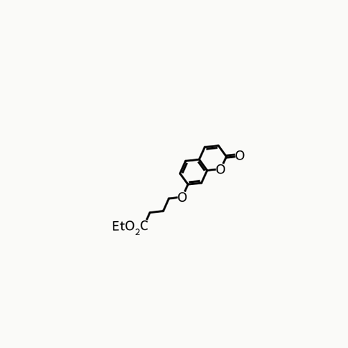 CCOC(=O)CCCOc1ccc2ccc(=O)oc2c1